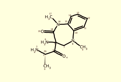 C[C@H](N)C(=O)C1(N)CN(C)c2ccccc2N(C)C1=O